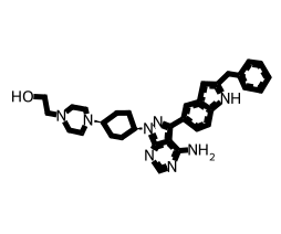 Nc1ncnc2c1c(-c1ccc3[nH]c(Cc4ccccc4)cc3c1)nn2[C@H]1CC[C@@H](N2CCN(CCO)CC2)CC1